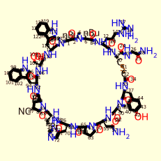 CCCC[C@H]1C(=O)N(C)[C@@H](CCCC)C(=O)N[C@@H](CCCNC(=N)N)C(=O)N[C@H](C(=O)NCC(N)=O)CSCC(=O)N[C@@H](Cc2ccc(O)cc2)C(=O)N(C)[C@@H](C)C(=O)N[C@@H](CC(N)=O)C(=O)N2CCC[C@H]2C(=O)N[C@@H](Cc2cnc[nH]2)C(=O)N[C@@H](CC(C)C)C(=O)N2C[C@H](C#N)C[C@H]2C(=O)N[C@@H](Cc2c[nH]c3ccccc23)C(=O)N[C@@H](CO)C(=O)N[C@@H](Cc2c[nH]c3ccccc23)C(=O)N1C